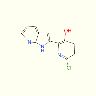 Oc1ccc(Cl)nc1-c1cc2cccnc2[nH]1